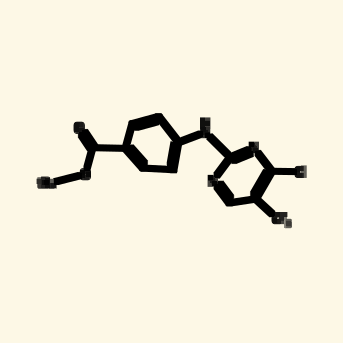 CC(C)(C)OC(=O)c1ccc(Nc2ncc(C(F)(F)F)c(Cl)n2)cc1